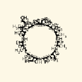 C/C=C/CC(C)C(O)C1C(=O)NC(CC)C(=O)N(C)CC(=O)N(C)C(CC(C)C)C(=O)NC(C(C)C)C(=O)N(C)C(CC(C)C)C(=O)NC(C)C(=O)NC(C)C(=O)N(C)C(CCC)C(=O)N(C)C(CC(C)C)C(=O)N(C)C(C(C)C)C(=O)N1C